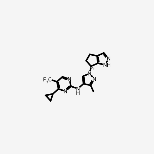 Cc1nn([C@H]2CCc3cn[nH]c32)cc1Nc1ncc(C(F)(F)F)c(C2CC2)n1